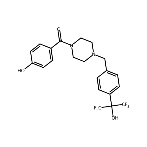 O=C(c1ccc(O)cc1)N1CCN(Cc2ccc(C(O)(C(F)(F)F)C(F)(F)F)cc2)CC1